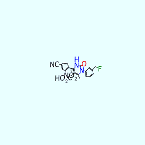 CC1=C(C(=O)O)[C@@H](c2ccc(C#N)cc2[N+](=O)[O-])NC(=O)N1c1cccc(CF)c1